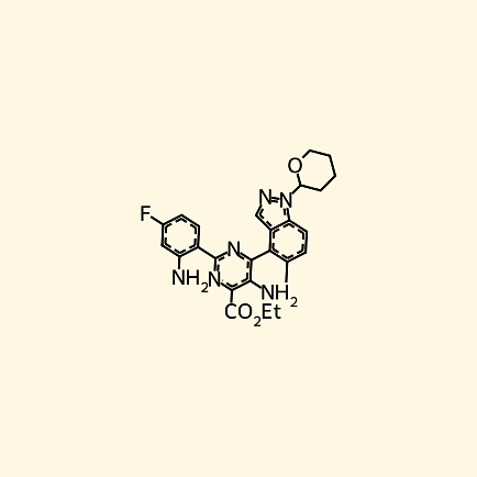 CCOC(=O)c1nc(-c2ccc(F)cc2N)nc(-c2c(C)ccc3c2cnn3C2CCCCO2)c1N